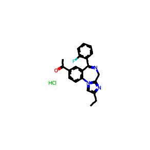 CCc1cn2c(n1)CN=C(c1ccccc1F)c1cc(C(C)=O)ccc1-2.Cl